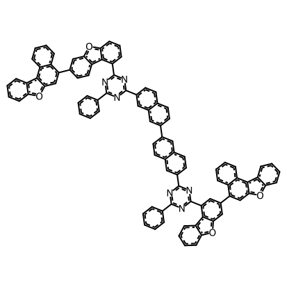 c1ccc(-c2nc(-c3ccc4ccc(-c5ccc6cc(-c7nc(-c8ccccc8)nc(-c8cc(-c9cc%10oc%11ccccc%11c%10c%10ccccc9%10)cc9oc%10ccccc%10c89)n7)ccc6c5)cc4c3)nc(-c3cccc4oc5cc(-c6cc7oc8ccccc8c7c7ccccc67)ccc5c34)n2)cc1